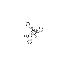 O=C(N[C@@H](Cc1ccccc1)C(=O)NC(Cc1ccccc1)C(=O)O)OCc1ccccc1